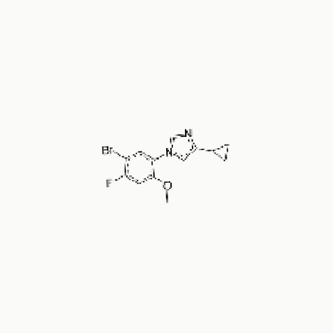 COc1cc(F)c(Br)cc1-n1cnc(C2CC2)c1